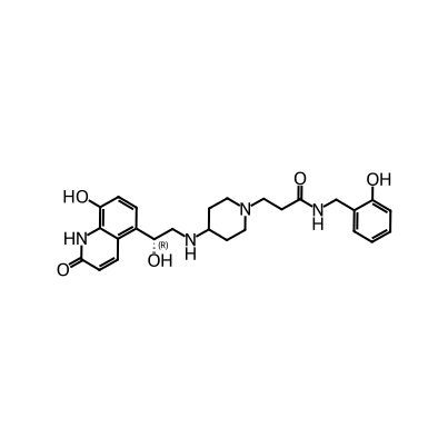 O=C(CCN1CCC(NC[C@H](O)c2ccc(O)c3[nH]c(=O)ccc23)CC1)NCc1ccccc1O